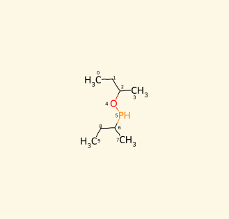 CCC(C)OPC(C)CC